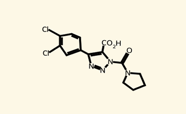 O=C(O)c1c(-c2ccc(Cl)c(Cl)c2)nnn1C(=O)N1CCCC1